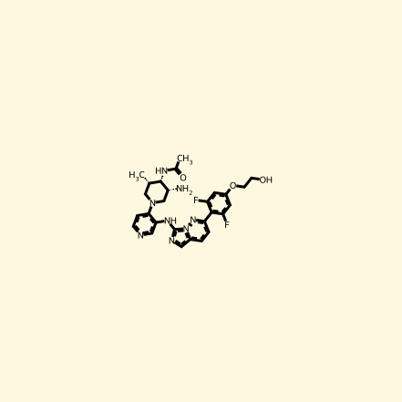 CC(=O)N[C@@H]1[C@H](N)CN(c2ccncc2Nc2ncc3ccc(-c4c(F)cc(OCCO)cc4F)nn23)C[C@@H]1C